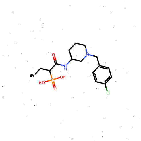 CC(C)CC(C(=O)NC1CCCN(Cc2ccc(Cl)cc2)C1)P(=O)(O)O